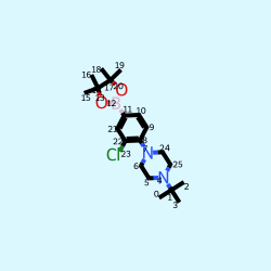 CC(C)(C)N1CCN(c2ccc(B3OC(C)(C)C(C)(C)O3)cc2Cl)CC1